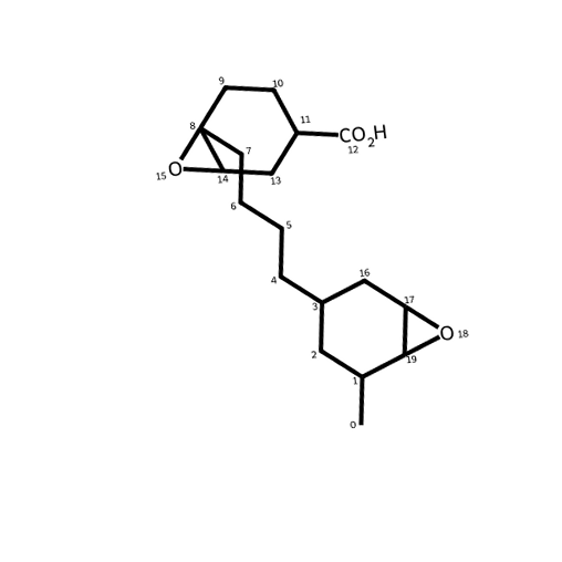 CC1CC(CCCCC23CCC(C(=O)O)CC2O3)CC2OC12